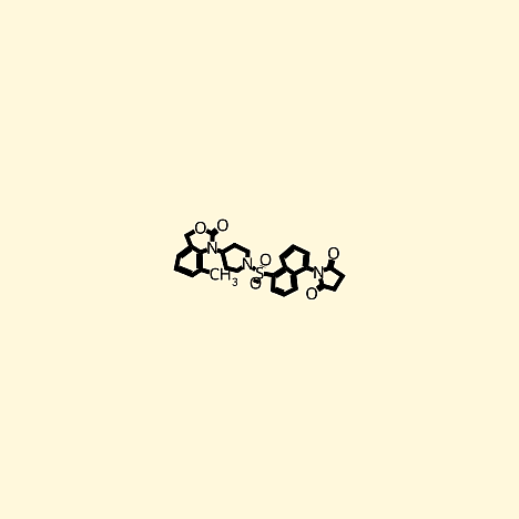 Cc1cccc2c1N(C1CCN(S(=O)(=O)c3cccc4c(N5C(=O)CCC5=O)cccc34)CC1)C(=O)OC2